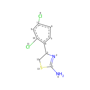 NC1=NC(c2ccc(Cl)cc2Cl)CS1